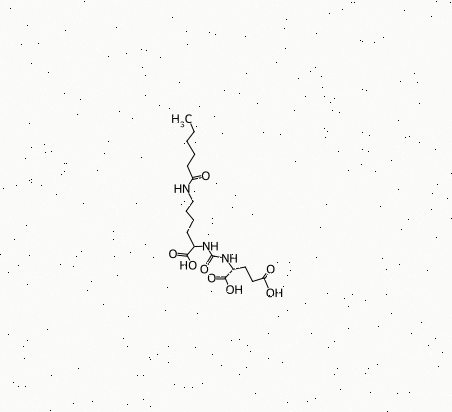 CCCCCC(=O)NCCCCC(NC(=O)NC(CCC(=O)O)C(=O)O)C(=O)O